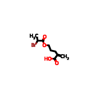 C=C(CCCOC(=O)C(C)Br)C(=O)O